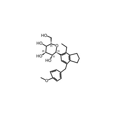 CCc1c([C@@H]2O[C@H](CO)C(O)[C@H](O)[C@@H]2O)cc(Cc2ccc(OC)cc2)c2c1CCC2